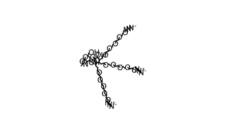 CC1=NC2C(O1)OC(CO)C(OC1OC(CCCOCCOCCOCCOCCON=[N+]=[N-])C(CCOCCOCCOCCOCCON=[N+]=[N-])C(CCOCCOCCOCCOCCON=[N+]=[N-])C1O)C2O